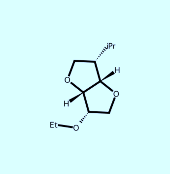 CCO[C@H]1CO[C@@H]2[C@H]1OC[C@@H]2C(C)C